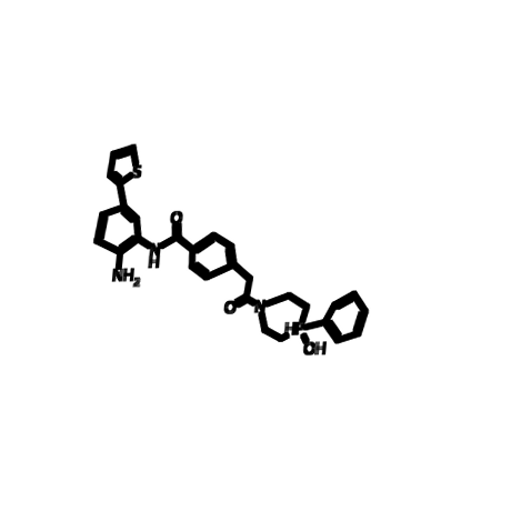 Nc1ccc(-c2cccs2)cc1NC(=O)c1ccc(CC(=O)N2CC[PH](O)(c3ccccc3)CC2)cc1